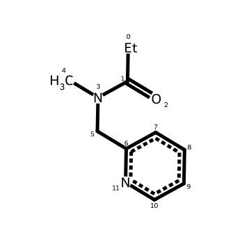 CCC(=O)N(C)Cc1ccccn1